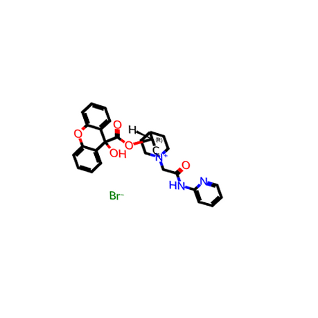 O=C(C[N+]12CCC(CC1)[C@@H](OC(=O)C1(O)c3ccccc3Oc3ccccc31)C2)Nc1ccccn1.[Br-]